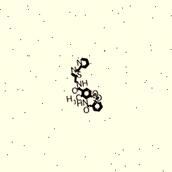 Cc1c(C(=O)NCc2cnc(-c3ccccn3)s2)ccc2c1NC(=O)c1ccccc1S2(=O)=O